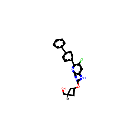 CCC1(CO)CC(Oc2nc3nc(-c4ccc(-c5ccccc5)cc4)c(Cl)cc3[nH]2)C1